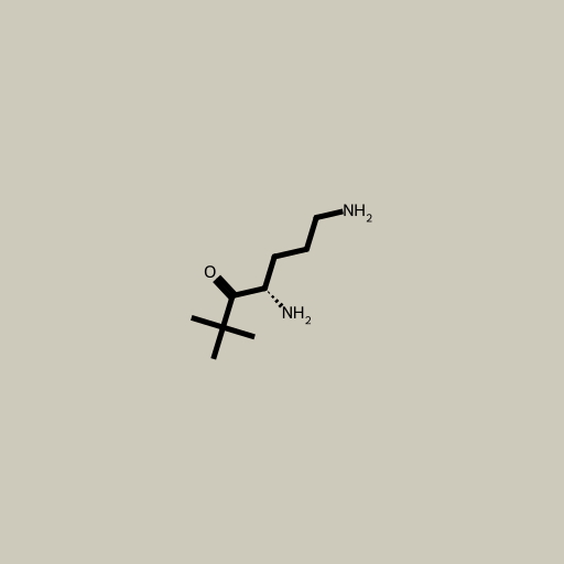 CC(C)(C)C(=O)[C@@H](N)CCCN